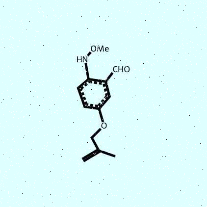 C=C(C)COc1ccc(NOC)c(C=O)c1